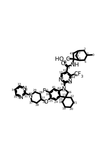 CC1CC2CC(C1)C(NC(=O)c1cnc(N3CC4(CCCCC4)c4cc(OC5CCN(c6ncccn6)CC5)c(F)cc43)nc1C(F)(F)F)(C(=O)O)C2